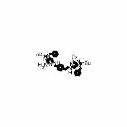 CCCCc1nc2c(N)nc(NCCc3ccc(CNc4cc5c(nc(CCCC)n5Cc5ccccc5)c(N)n4)cc3)cc2n1Cc1ccccc1